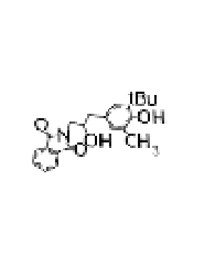 Cc1cc(CC(O)CN2C(=O)c3ccccc3C2=O)cc(C(C)(C)C)c1O